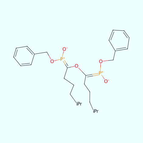 CC(C)CCC/C(O/C(CCCC(C)C)=[P+](\[O-])OCc1ccccc1)=[P+](\[O-])OCc1ccccc1